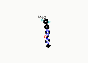 COc1cc(F)c(-c2ccc(N3CCN(CC(=O)N4CCN(C5CCC5)CC4)CC3)cc2)cc1F